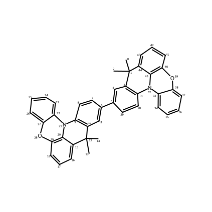 CC1(C)c2cc(-c3ccc4c(c3)C(C)(C)c3cccc5c3N4c3ccccc3O5)ccc2N2c3ccccc3Oc3cccc1c32